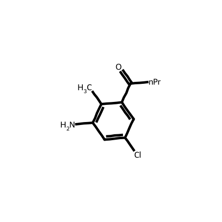 CCCC(=O)c1cc(Cl)cc(N)c1C